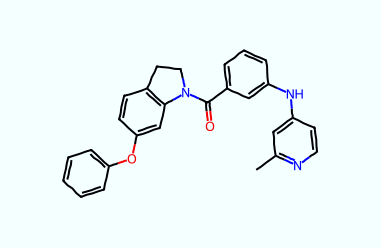 Cc1cc(Nc2cccc(C(=O)N3CCc4ccc(Oc5ccccc5)cc43)c2)ccn1